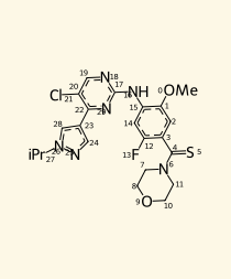 COc1cc(C(=S)N2CCOCC2)c(F)cc1Nc1ncc(Cl)c(-c2cnn(C(C)C)c2)n1